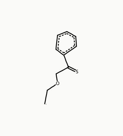 [CH2]COCC(=S)c1ccccc1